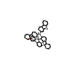 CC1(c2c(N(c3ccc4c(c3)sc3ccccc34)c3ccc4c(c3)sc3ccccc34)ccc3c2oc2ccccc23)c2ccccc2-c2ccccc21